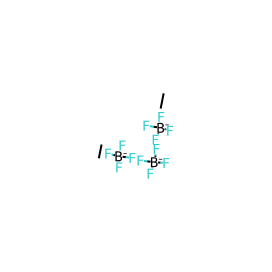 CC.CC.F[B-](F)(F)F.F[B-](F)(F)F.F[B-](F)(F)F